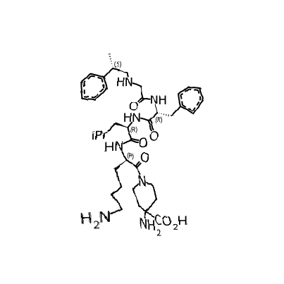 CC(C)C[C@@H](NC(=O)[C@@H](Cc1ccccc1)NC(=O)CNC[C@@H](C)c1ccccc1)C(=O)N[C@H](CCCCN)C(=O)N1CCC(N)(C(=O)O)CC1